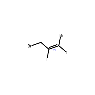 BrC/C(I)=C(\Br)I